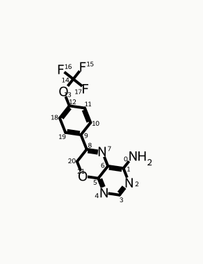 Nc1ncnc2c1N=C(c1ccc(OC(F)(F)F)cc1)CO2